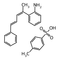 C/C(=C/C=C/c1ccccc1)c1ccccc1N.Cc1ccc(S(=O)(=O)O)cc1